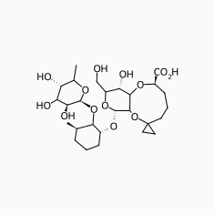 CC1O[C@@H](OC2[C@H](C)CCC[C@H]2O[C@@H]2OC(CO)[C@H](O)C3O[C@@H](C(=O)O)CCCC4(CC4)OC32)[C@@H](O)C(O)[C@@H]1O